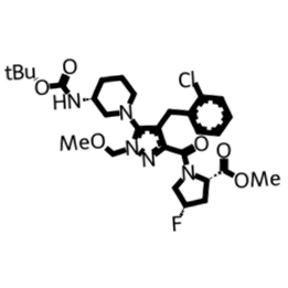 COCn1nc(C(=O)N2C[C@@H](F)C[C@H]2C(=O)OC)c(Cc2ccccc2Cl)c1N1CCC[C@@H](NC(=O)OC(C)(C)C)C1